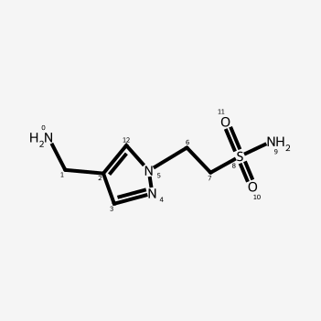 NCc1cnn(CCS(N)(=O)=O)c1